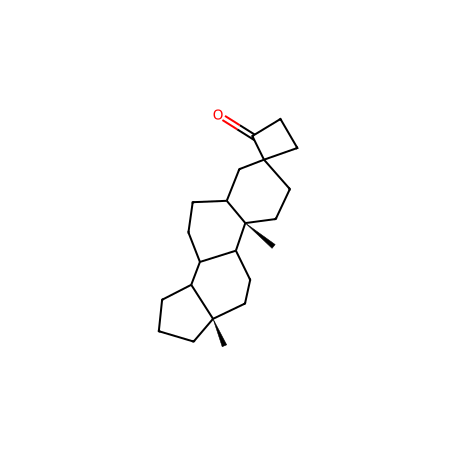 C[C@@]12CCCC1C1CCC3CC4(CCC4=O)CC[C@]3(C)C1CC2